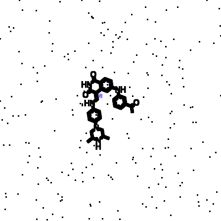 CC(=O)c1cccc(Nc2ccc3c(c2)/C(=C/Nc2ccc(N4CC(C)NC(C)C4)cc2)C(=O)NC3=O)c1